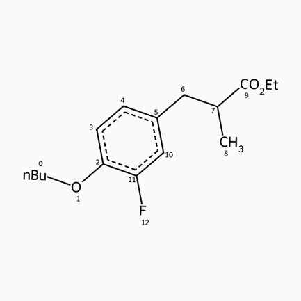 CCCCOc1ccc(CC(C)C(=O)OCC)cc1F